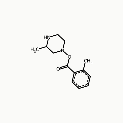 Cc1ccccc1C(=O)ON1CCNC(C)C1